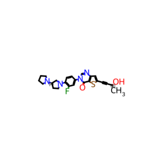 C[C@@H](O)C#Cc1cc2ncn(-c3ccc(N4CC[C@@H](N5CCCC5)C4)c(F)c3)c(=O)c2s1